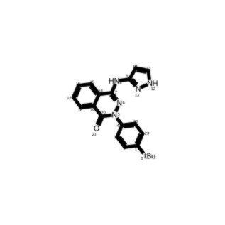 CC(C)(C)c1ccc(-n2nc(Nc3cc[nH]n3)c3ccccc3c2=O)cc1